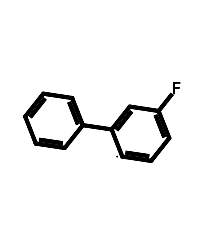 Fc1cc[c]c(-c2ccccc2)c1